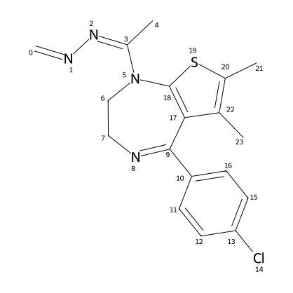 C=N/N=C(/C)N1CCN=C(c2ccc(Cl)cc2)c2c1sc(C)c2C